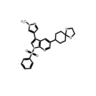 Cn1cc(-c2cn(S(=O)(=O)c3ccccc3)c3ncc(C4CCC5(CC4)OCCO5)cc23)cn1